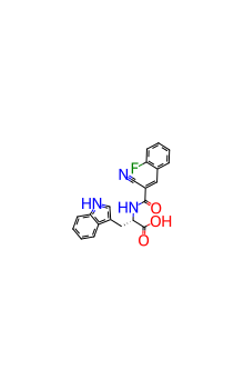 N#CC(=Cc1ccccc1F)C(=O)N[C@@H](Cc1c[nH]c2ccccc12)C(=O)O